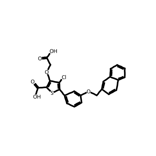 O=C(O)COc1c(C(=O)O)sc(-c2cccc(OCc3ccc4ccccc4c3)c2)c1Cl